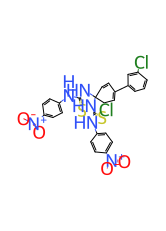 O=[N+]([O-])c1ccc(NC(=S)NC2(NC(=S)Nc3ccc([N+](=O)[O-])cc3)C=CC(c3cccc(Cl)c3)=CC2Cl)cc1